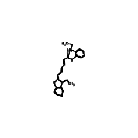 CCNc1ccccc1SC(=O)/C=C/C=C/C=C1/Sc2ccccc2N1CC